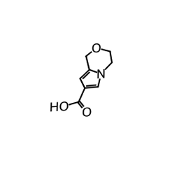 O=C(O)c1cc2n(c1)CCOC2